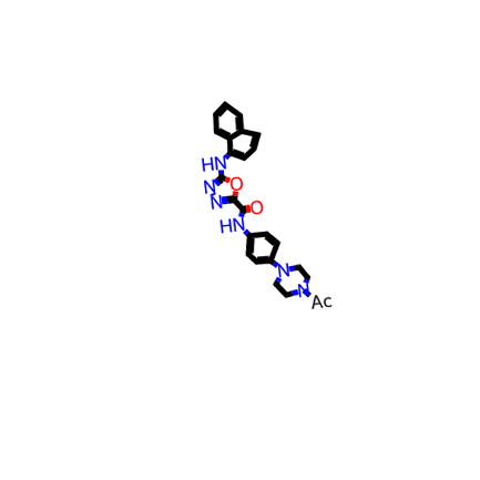 CC(=O)N1CCN(c2ccc(NC(=O)c3nnc(Nc4cccc5ccccc45)o3)cc2)CC1